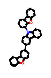 c1ccc2c(c#1)oc1ccc(-c3ccc4c(c3)c3ccccc3n4-c3cccc4c3oc3ccccc34)cc12